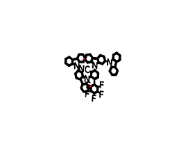 N#Cc1c(-n2c3ccccc3c3ccc(-n4c5ccccc5c5ccccc54)cc32)ccc(-c2c(F)c(F)c(F)c(F)c2F)c1-n1c2ccccc2c2ccc(-n3c4ccccc4c4ccccc43)cc21